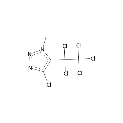 Cn1nnc(Cl)c1C(Cl)(Cl)C(Cl)(Cl)Cl